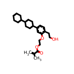 C=C(C)C(=O)OCCOc1cc(C2CCC(C3CCCCC3)CC2)ccc1CCO